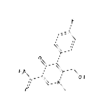 Cn1cc(C(N)=O)c(=O)c(-c2ccc(F)cc2)c1CO